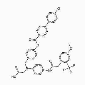 COc1ccc(CC(=O)Nc2ccc(N(CC(=O)O)Cc3ccc(OC(=O)c4ccc(-c5ccc(Cl)cc5)cc4)cc3)cc2)c(C(F)(F)F)c1